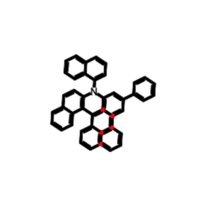 c1ccc(-c2cc(-c3ccccc3)cc(N(c3ccc4ccccc4c3-c3cccc4ccccc34)c3cccc4ccccc34)c2)cc1